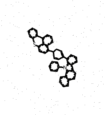 C1=CC(c2ccc3c4c(cccc24)-c2ccccc2S3)CC=C1c1cccc2c3ccc4ccccc4c3n(-c3ccccc3)c12